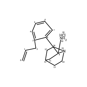 C=CCc1ccccc1C1(N)CC2CCN1CC2.Cl